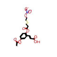 CC(=O)Oc1ccc(OC(=O)CCSCCO[N+](=O)[O-])c(C=CC(=O)O)c1